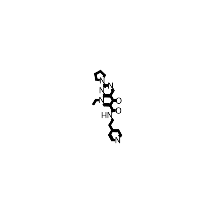 CCn1cc(C(=O)NCCc2ccncc2)c(=O)c2cnc(N3CCCC3)nc21